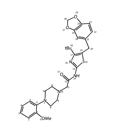 COc1ccccc1N1CCN(CC(=O)Nc2nc(C(C)(C)C)c(Cc3ccc4c(c3)OCO4)s2)CC1